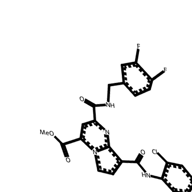 COC(=O)c1cc(C(=O)NCc2ccc(F)c(F)c2)nc2c(C(=O)Nc3ccccc3Cl)ccn12